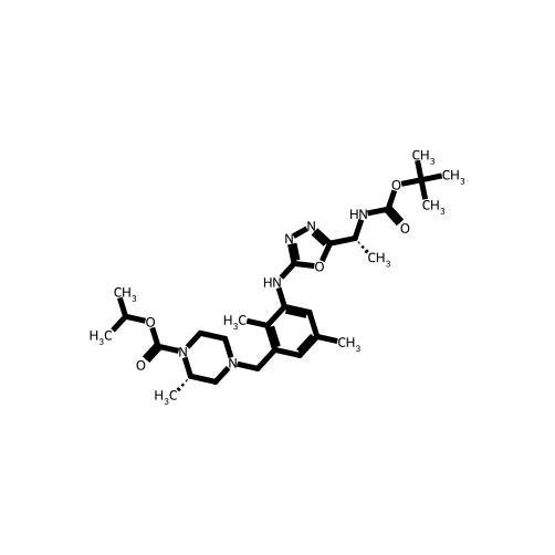 Cc1cc(CN2CCN(C(=O)OC(C)C)[C@@H](C)C2)c(C)c(Nc2nnc([C@@H](C)NC(=O)OC(C)(C)C)o2)c1